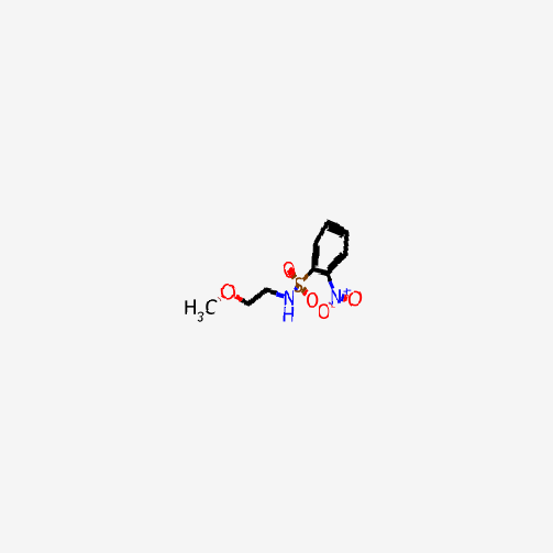 COCCNS(=O)(=O)c1ccccc1[N+](=O)[O-]